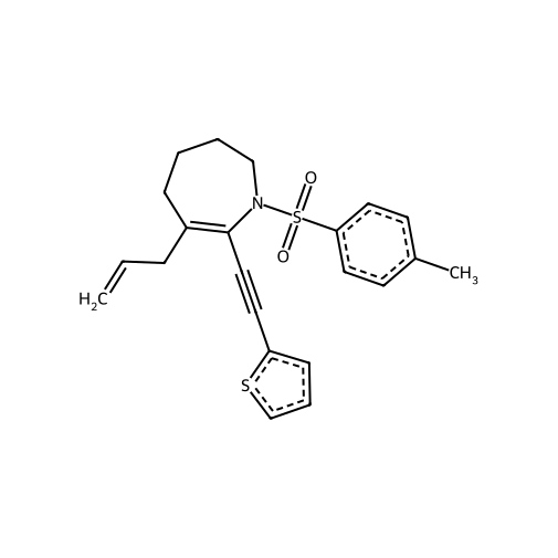 C=CCC1=C(C#Cc2cccs2)N(S(=O)(=O)c2ccc(C)cc2)CCCC1